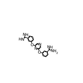 N=C(N)c1cccc(Oc2cncc(Oc3cccc(C(=N)N)c3)n2)c1